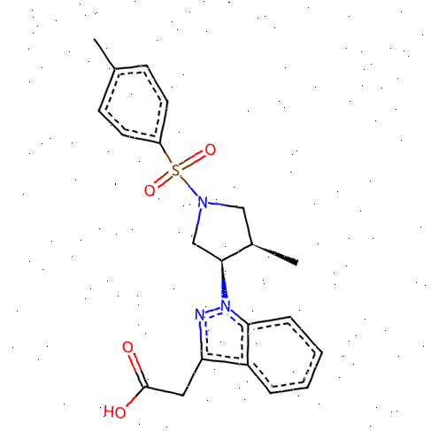 Cc1ccc(S(=O)(=O)N2C[C@@H](C)[C@@H](n3nc(CC(=O)O)c4ccccc43)C2)cc1